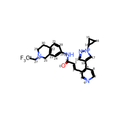 O=C(C=Cc1cnccc1-c1cnn(C2CC2)c1)Nc1ccc2c(c1)CN(CC(F)(F)F)CC2